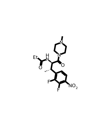 CCC(=O)N[C@@H](C(=O)N1CCN(C)CC1)[C@@H](C)c1ccc([N+](=O)[O-])c(F)c1F